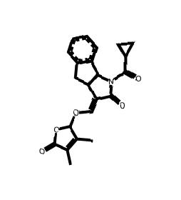 CC1=C(C)C(O/C=C2/C(=O)N(C(=O)C3CC3)C3c4ccccc4CC23)OC1=O